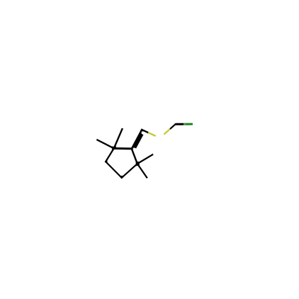 CC1(C)CCC(C)(C)C1=CSCCl